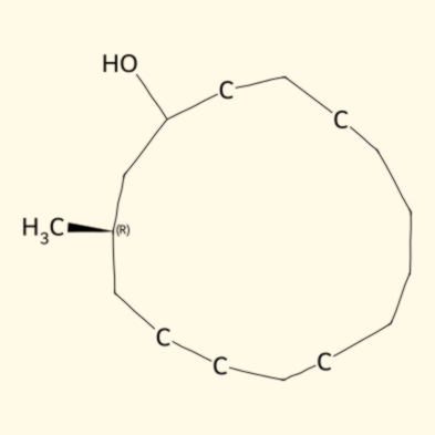 C[C@@H]1CCCCCCCCCCCCC(O)C1